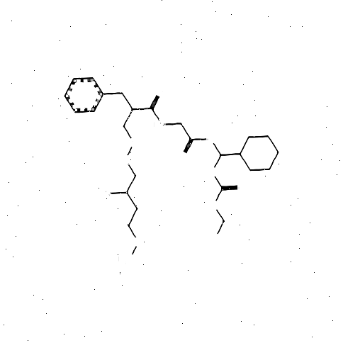 CCOC(=O)OC(OC(=O)CNC(=O)C(CSSCC(N)CCSC)Cc1ccccc1)C1CCCCC1